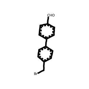 O=Cc1ccc(-c2ccc(CBr)cc2)cc1